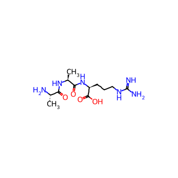 C[C@H](N)C(=O)N[C@@H](C)C(=O)N[C@@H](CCCNC(=N)N)C(=O)O